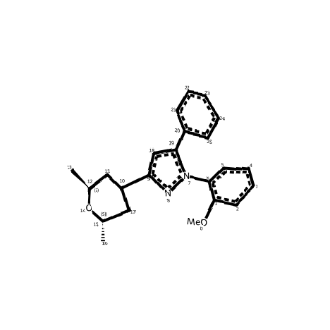 COc1ccccc1-n1nc(C2C[C@H](C)O[C@@H](C)C2)cc1-c1ccccc1